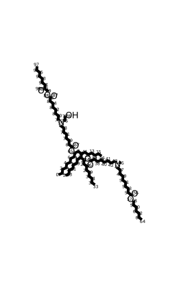 CCCCCCCCC(CC(CCCCCC)C(CCCCCCC)C(CCCCCCCC)OC(=O)CCCCCCCN(C)CCCCCCCCCC(=O)OCCCCCCC)OC(=O)CCCCCCCN(CCO)CCCCCCCC(=O)OCC(CCCCCCC)OC